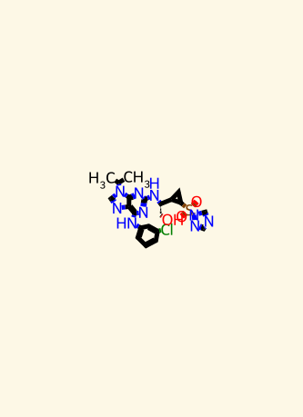 CC(C)n1cnc2c(Nc3cccc(Cl)c3)nc(N[C@@H](CO)C3CC3S(=O)(=O)n3cncn3)nc21